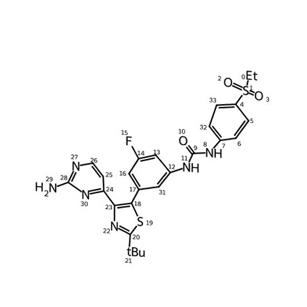 CCS(=O)(=O)c1ccc(NC(=O)Nc2cc(F)cc(-c3sc(C(C)(C)C)nc3-c3ccnc(N)n3)c2)cc1